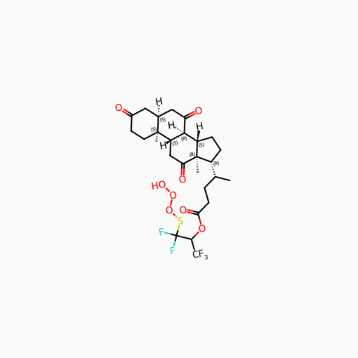 CC(CCC(=O)OC(C(F)(F)F)C(F)(F)SOOO)[C@H]1CC[C@H]2[C@@H]3C(=O)C[C@@H]4CC(=O)CC[C@]4(C)[C@H]3CC(=O)[C@]12C